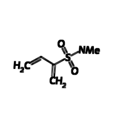 C=CC(=C)S(=O)(=O)NC